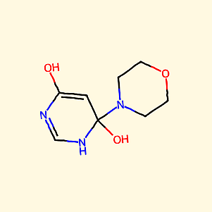 OC1=CC(O)(N2CCOCC2)NC=N1